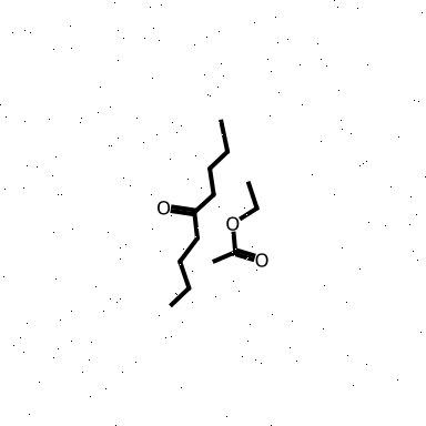 CCCCC(=O)CCCC.CCOC(C)=O